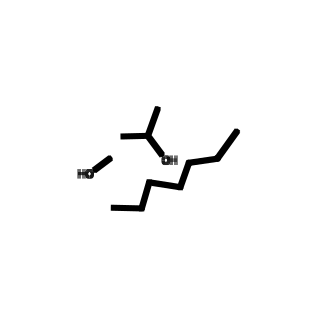 CC(C)O.CCCCCCC.CO